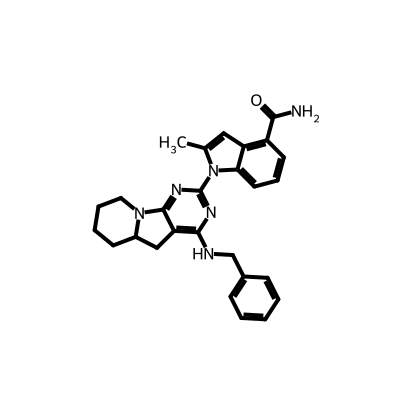 Cc1cc2c(C(N)=O)cccc2n1-c1nc(NCc2ccccc2)c2c(n1)N1CCCCC1C2